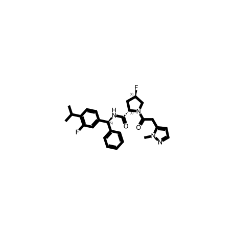 CC(C)c1ccc([C@@H](NC(=O)[C@@H]2C[C@@H](F)CN2C(=O)Cc2ccnn2C)c2ccccc2)cc1F